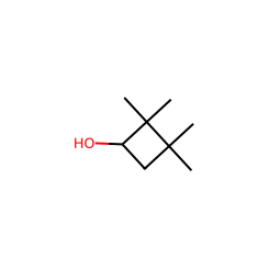 CC1(C)CC(O)C1(C)C